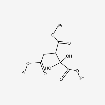 CC(C)OC(=O)CC(C(=O)OC(C)C)C(O)(O)C(=O)OC(C)C